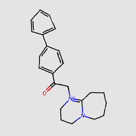 O=C(C[N+]1=C2CCCCCN2CCC1)c1ccc(-c2ccccc2)cc1